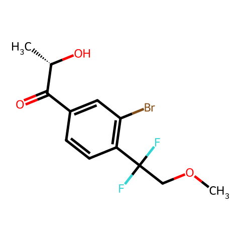 COCC(F)(F)c1ccc(C(=O)[C@H](C)O)cc1Br